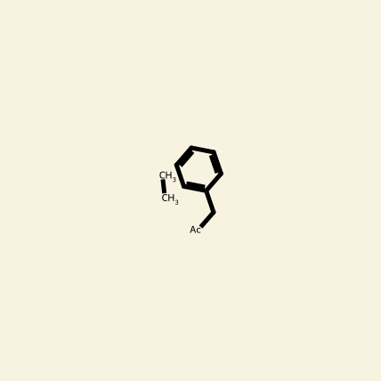 CC.CC(=O)Cc1ccccc1